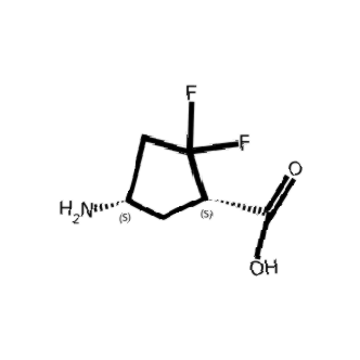 N[C@H]1C[C@@H](C(=O)O)C(F)(F)C1